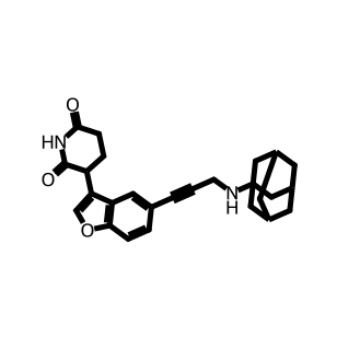 O=C1CCC(c2coc3ccc(C#CCNC45CC6CC(CC(C6)C4)C5)cc23)C(=O)N1